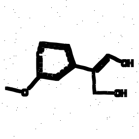 COc1cccc(/C(=C/O)CO)c1